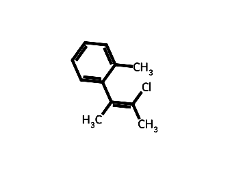 CC(Cl)=C(C)c1ccccc1C